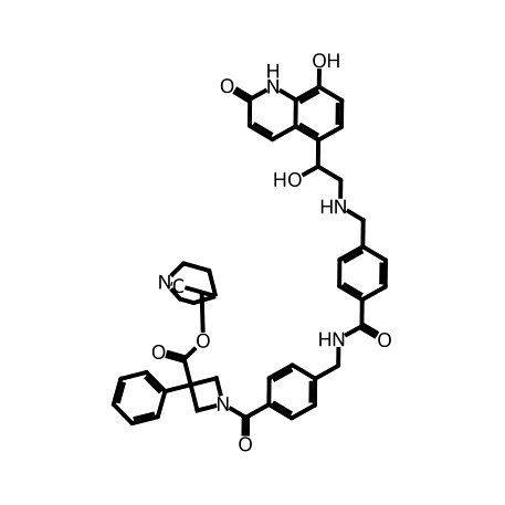 O=C(NCc1ccc(C(=O)N2CC(C(=O)OC3CN4CCC3CC4)(c3ccccc3)C2)cc1)c1ccc(CNCC(O)c2ccc(O)c3[nH]c(=O)ccc23)cc1